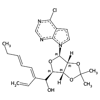 C=CC(=CC=CCC)C(O)[C@H]1O[C@@H](n2ccc3c(Cl)ncnc32)[C@@H]2OC(C)(C)O[C@@H]21